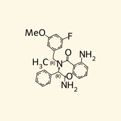 COc1cc(F)cc([C@@H](C)N(C(=O)c2ccccc2N)[C@@H](C(N)=O)c2ccccc2)c1